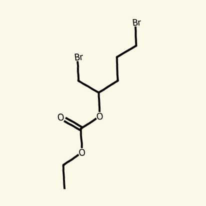 CCOC(=O)OC(CBr)CCCBr